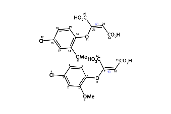 COc1cc(Cl)ccc1O/C(=C/C(=O)O)C(=O)O.COc1cc(Cl)ccc1O/C(=C\C(=O)O)C(=O)O